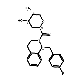 N[C@@H]1CO[C@@H](C(=O)N2CCc3ccccc3[C@@H]2Cc2ccc(F)cc2)C[C@H]1O